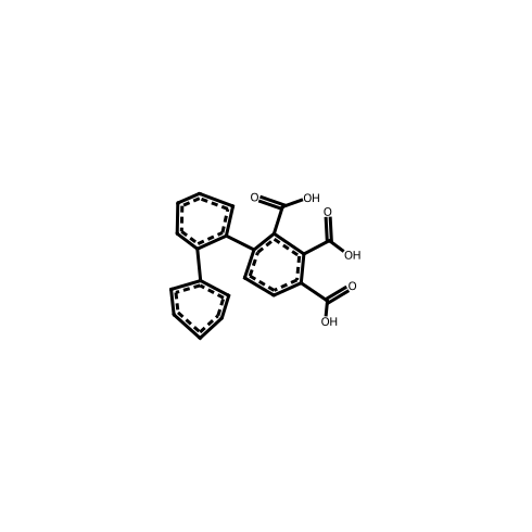 O=C(O)c1ccc(-c2ccccc2-c2ccccc2)c(C(=O)O)c1C(=O)O